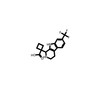 O=C(O)C1(C2NCCc3c2[nH]c2cc(C(F)(F)F)ccc32)CCC1